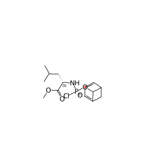 COC(=O)[C@H](CC(C)C)NP(=O)(Cl)OC1C2=CC=CC1C2